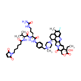 CC[C@@]1(O)C(=O)OCc2c1cc1n(c2=O)Cc2c-1nc1cc(F)c(C)c3c1c2[C@@H](N1CC[N+](C)(Cc2ccc(NC(=O)[C@H](CCCNC(N)=O)NC(=O)[C@@H](NC(=O)CCCCCN4C(=O)C=CC4=O)C(C)C)cc2)CC1)CC3